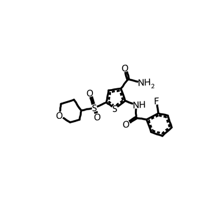 NC(=O)c1cc(S(=O)(=O)C2CCOCC2)sc1NC(=O)c1ccccc1F